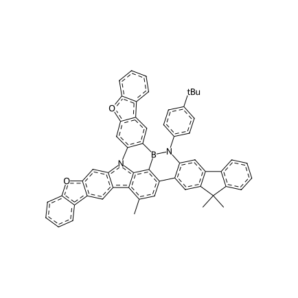 Cc1cc2c3c4c1c1cc5c(cc1n4-c1cc4oc6ccccc6c4cc1B3N(c1ccc(C(C)(C)C)cc1)c1cc3c(cc1-2)C(C)(C)c1ccccc1-3)oc1ccccc15